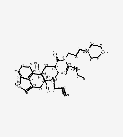 C=CCN1C[C@H](C(=O)N(CCCN2CCOCC2)C(=O)NCC)C[C@@H]2c3cccc4[nH]cc(c34)C[C@H]21